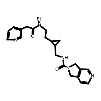 CCN(CCC1CC1CNC(=O)N1Cc2ccncc2C1)C(=O)Cc1cccnc1